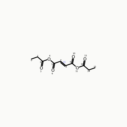 CCC(=O)OC(=O)/C=C/C(=O)OC(=O)CC